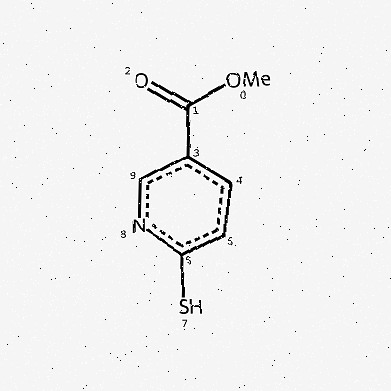 COC(=O)c1ccc(S)nc1